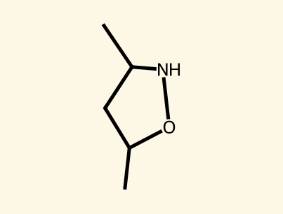 CC1CC(C)ON1